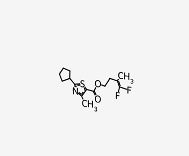 CC(CCOC(=O)c1sc(C2CCCC2)nc1C)=C(F)F